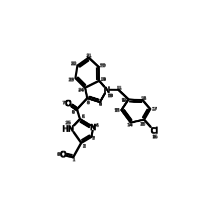 O=Cc1cnc(C(=O)c2cn(Cc3ccc(Cl)cc3)c3ccccc23)[nH]1